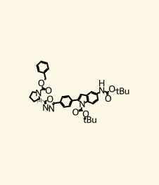 CC(C)(C)OC(=O)Nc1ccc2c(c1)cc(-c1ccc(-c3nnc([C@@H]4CCCN4C(=O)OCc4ccccc4)o3)cc1)n2C(=O)OC(C)(C)C